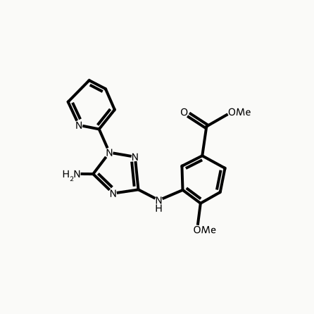 COC(=O)c1ccc(OC)c(Nc2nc(N)n(-c3ccccn3)n2)c1